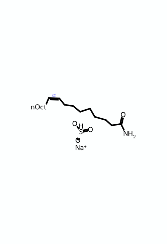 CCCCCCCC/C=C\CCCCCCCC(N)=O.O=[SH](=O)[O-].[Na+]